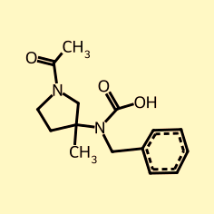 CC(=O)N1CCC(C)(N(Cc2ccccc2)C(=O)O)C1